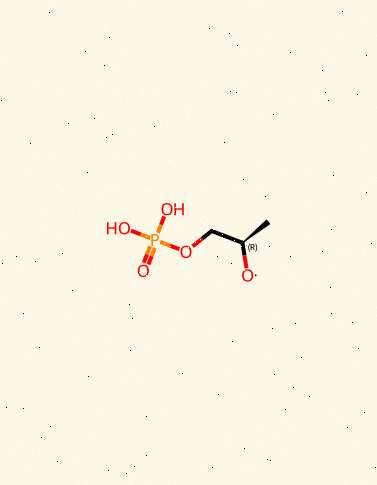 C[C@@H]([O])COP(=O)(O)O